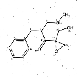 CNCC(Cc1ccccc1)C(=O)C1(CO)CO1